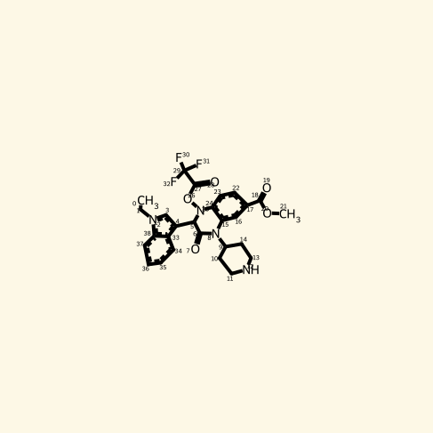 CCn1cc(C2C(=O)N(C3CCNCC3)c3cc(C(=O)OC)ccc3N2OC(=O)C(F)(F)F)c2ccccc21